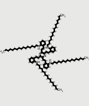 CCCCCCCCCCCCCCCCNc1ccccc1C=Cc1nc(C=Cc2ccccc2NCCCCCCCCCCCCCCCC)c(C=Cc2ccccc2NCCCCCCCCCCCCCCCC)nc1C=Cc1ccccc1NCCCCCCCCCCCCCCCC